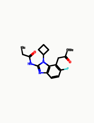 COC(=O)Cc1c(F)ccc2nc(NC(=O)CC(C)(C)C)n(C3CCC3)c12